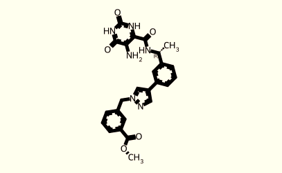 COC(=O)c1cccc(Cn2cc(-c3cccc([C@@H](C)NC(=O)c4[nH]c(=O)[nH]c(=O)c4N)c3)cn2)c1